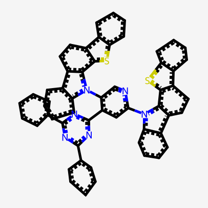 c1ccc(-c2nc(-c3ccccc3)nc(-c3cc(-n4c5ccccc5c5ccc6c7ccccc7sc6c54)ncc3-n3c4ccccc4c4ccc5c6ccccc6sc5c43)n2)cc1